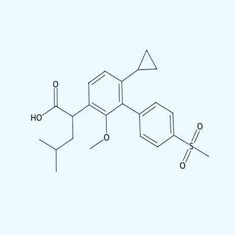 COc1c(C(CC(C)C)C(=O)O)ccc(C2CC2)c1-c1ccc(S(C)(=O)=O)cc1